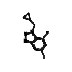 Fc1cc(I)cc2nnn(CC3CC3)c12